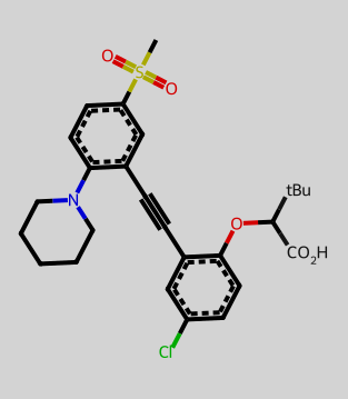 CC(C)(C)C(Oc1ccc(Cl)cc1C#Cc1cc(S(C)(=O)=O)ccc1N1CCCCC1)C(=O)O